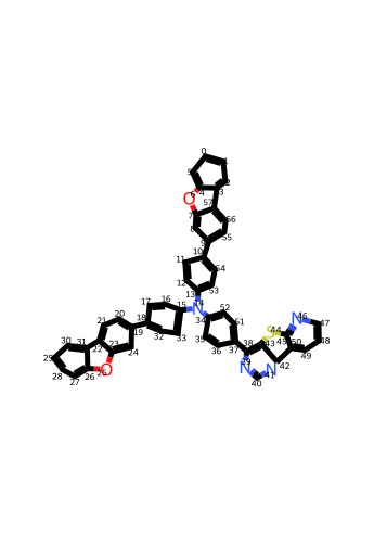 c1ccc2c(c1)oc1cc(-c3ccc(N(c4ccc(-c5ccc6c(c5)oc5ccccc56)cc4)c4ccc(-c5ncnc6c5sc5ncccc56)cc4)cc3)ccc12